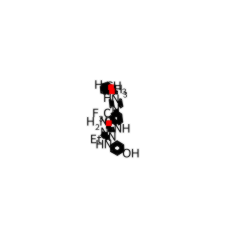 CCc1nc(C(N)=O)c(Nc2ccc(N3CCN(CC4CC[C@H]5C[C@@H]4C5(C)C)CC3)c(C(F)(F)F)c2)nc1N[C@H]1CC[C@H](O)CC1